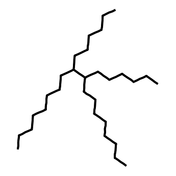 CCCCCCCCC(CCCCCC)C(CCCCCC)CCCCCCCC